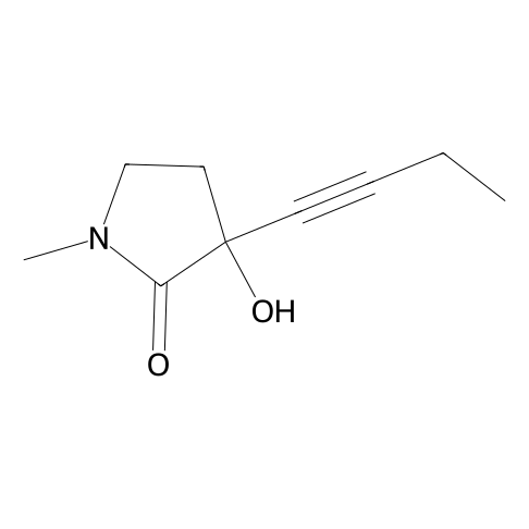 CCC#CC1(O)CCN(C)C1=O